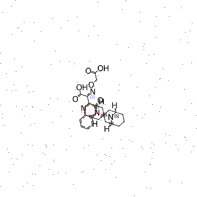 O=C(O)CO/N=C(\C(=O)O)c1nc2ccccc2n([C@H]2C[C@H]3CCC[C@@H](C2)N3[C@H]2C[C@@H]3CCC[C@@H](C3)C2)c1=O